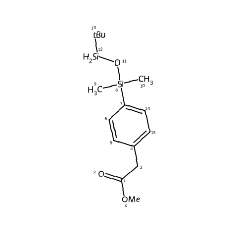 COC(=O)Cc1ccc([Si](C)(C)O[SiH2]C(C)(C)C)cc1